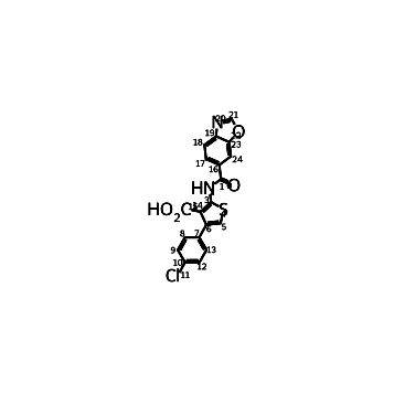 O=C(Nc1scc(-c2ccc(Cl)cc2)c1C(=O)O)c1ccc2ncoc2c1